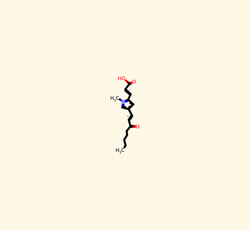 CCCCCC(=O)/C=C/c1cc(/C=C/C(=O)O)n(C)c1